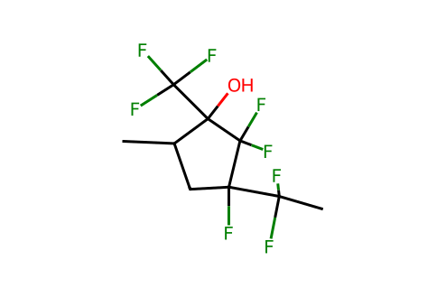 CC1CC(F)(C(C)(F)F)C(F)(F)C1(O)C(F)(F)F